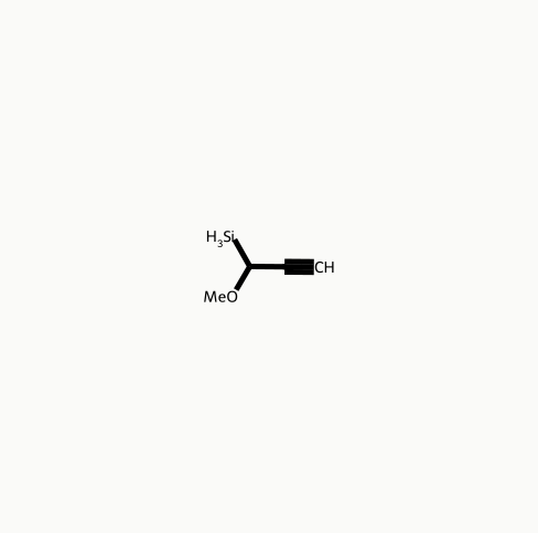 C#CC([SiH3])OC